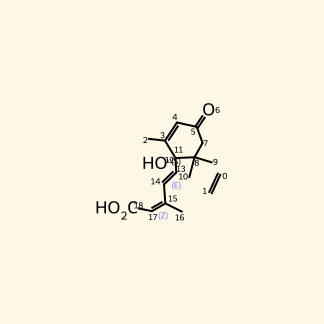 C=C.CC1=CC(=O)CC(C)(C)[C@@]1(O)/C=C/C(C)=C\C(=O)O